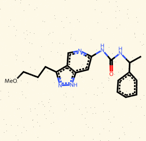 COCCCc1n[nH]c2cc(NC(=O)NC(C)c3ccccc3)ncc12